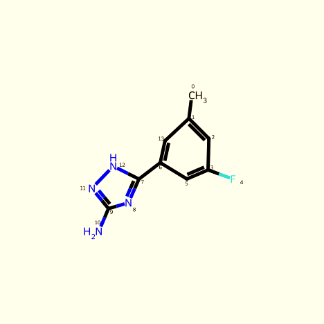 Cc1cc(F)cc(-c2nc(N)n[nH]2)c1